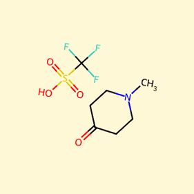 CN1CCC(=O)CC1.O=S(=O)(O)C(F)(F)F